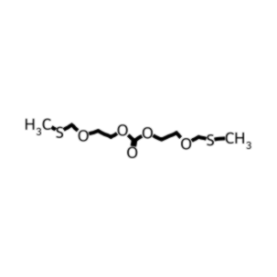 CSCOCCOC(=O)OCCOCSC